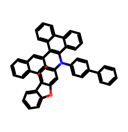 c1ccc(-c2ccc(N(c3ccc4c(c3)oc3ccccc34)c3c(-c4ccc5ccccc5c4)c4ccccc4c4ccccc34)cc2)cc1